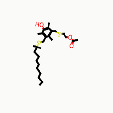 CCCCCCCCCC(C)(C)SCc1c(C)c(O)c(C)c(CSCCOC(C)=O)c1C